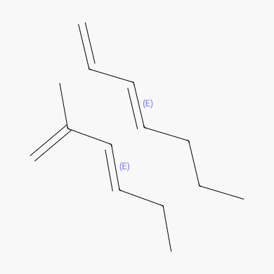 C=C(C)/C=C/CC.C=C/C=C/CCC